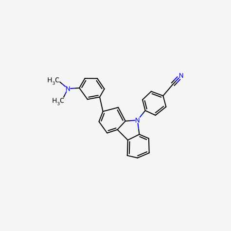 CN(C)c1cccc(-c2ccc3c4ccccc4n(-c4ccc(C#N)cc4)c3c2)c1